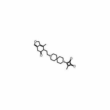 CC1=C2COC=C2CC(=O)C1CCN1CCC2(CC1)CCN(c1c(C)c(=O)c1=O)CC2